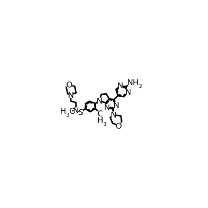 Cc1cc(SN(C)CCN2CCOCC2)ccc1N1CCc2c(-c3cnc(N)nc3)nc(N3CCOCC3)nc21